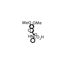 COc1cc2c(cc1OC)OCC(C(=O)NC1(C(=O)O)CCCCC1)=C2